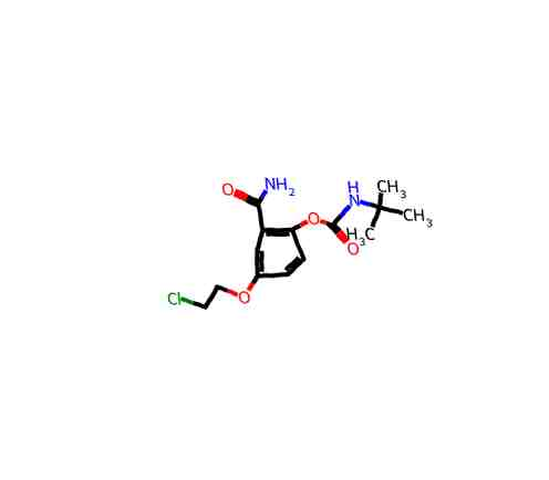 CC(C)(C)NC(=O)Oc1ccc(OCCCl)cc1C(N)=O